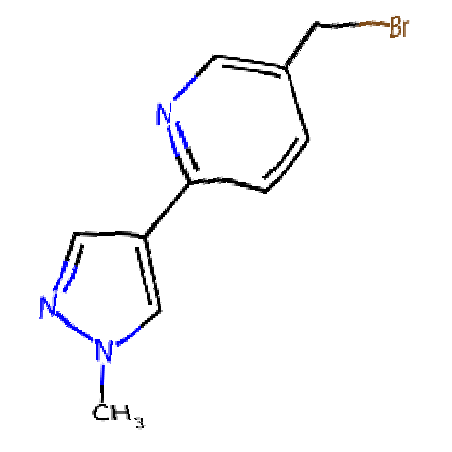 Cn1cc(-c2ccc(CBr)cn2)cn1